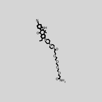 CCc1cc2c(cc1N1CCC(N3CCN(C(=O)CCOCCOCCOCCOCCC(N)=O)CC3)CC1)C(C)(C)c1[nH]c3cc(C#N)ccc3c1C2=O